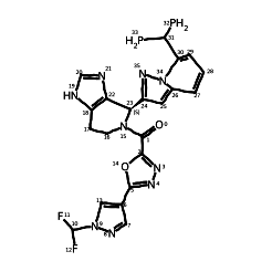 O=C(c1nnc(-c2cnn(C(F)F)c2)o1)N1CCc2[nH]cnc2[C@H]1c1cc2cccc(C(P)P)n2n1